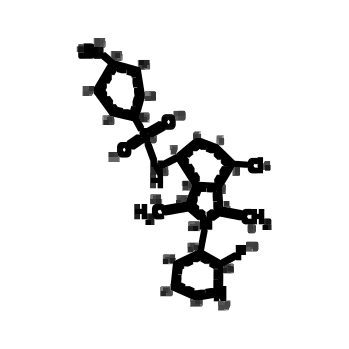 C=c1c2c(Cl)ccc(NS(=O)(=O)c3ccc(C(C)(C)C)cc3)c2c(=C)n1-c1cccnc1F